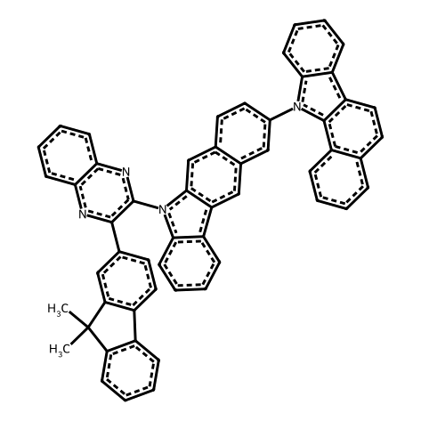 CC1(C)c2ccccc2-c2ccc(-c3nc4ccccc4nc3-n3c4ccccc4c4cc5cc(-n6c7ccccc7c7ccc8ccccc8c76)ccc5cc43)cc21